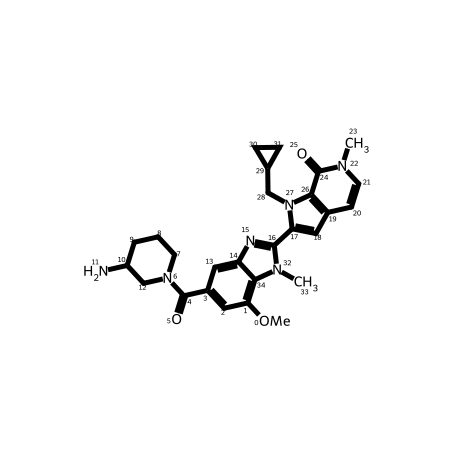 COc1cc(C(=O)N2CCCC(N)C2)cc2nc(-c3cc4ccn(C)c(=O)c4n3CC3CC3)n(C)c12